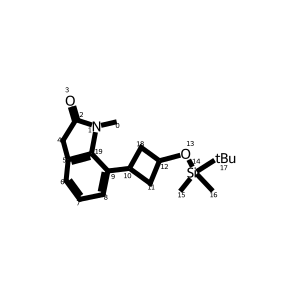 CN1C(=O)Cc2cccc(C3CC(O[Si](C)(C)C(C)(C)C)C3)c21